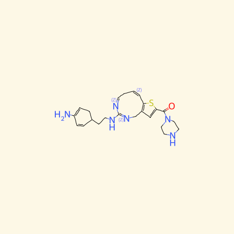 NC1=CCC(CCNC2=N/Cc3cc(C(=O)N4CCNCC4)sc3/C=C\C/C=N\2)C=C1